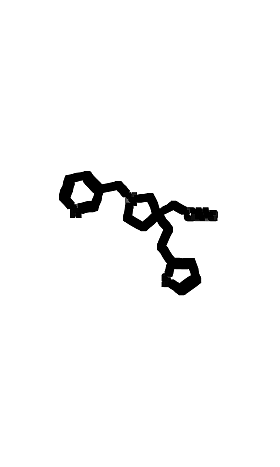 COC[C@@]1(CCc2cccs2)CCN(Cc2cccnc2)C1